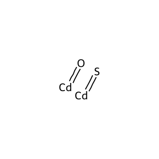 [O]=[Cd].[S]=[Cd]